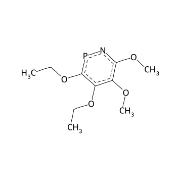 CCOc1pnc(OC)c(OC)c1OCC